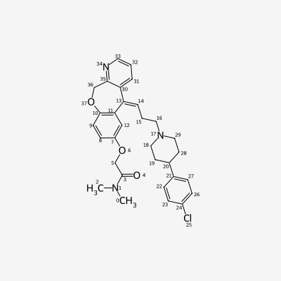 CN(C)C(=O)COc1ccc2c(c1)C(=CCCN1CCC(c3ccc(Cl)cc3)CC1)c1cccnc1CO2